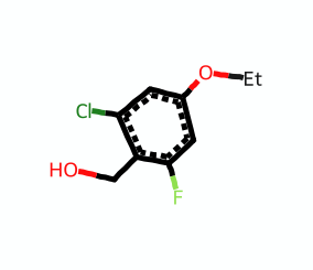 CCOc1cc(F)c(CO)c(Cl)c1